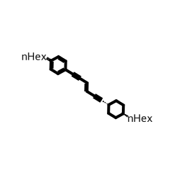 CCCCCCc1ccc(C#C/C=C/C#C[C@H]2CC[C@H](CCCCCC)CC2)cc1